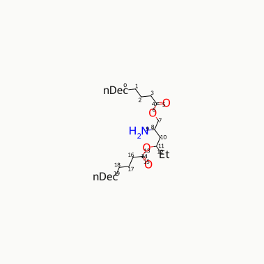 CCCCCCCCCCCCCC(=O)OCC(N)CC(CC)OC(=O)CCCCCCCCCCCCC